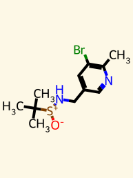 Cc1ncc(CN[S+]([O-])C(C)(C)C)cc1Br